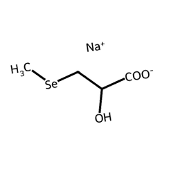 C[Se]CC(O)C(=O)[O-].[Na+]